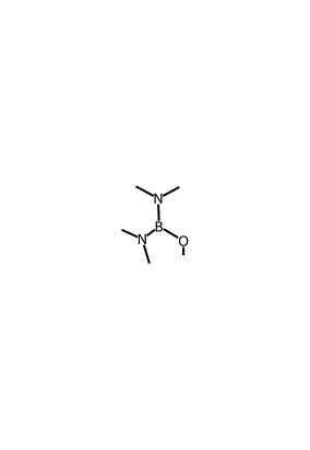 COB(N(C)C)N(C)C